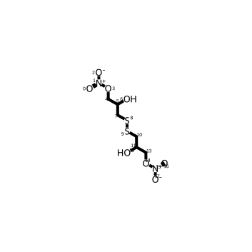 O=[N+]([O-])OCC(O)CSSCC(O)CO[N+](=O)[O-]